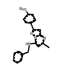 COc1ccc(-c2cc3nc(C)cc(NCc4ccccc4)n3n2)cc1